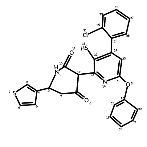 O=C1CC(c2ccsc2)NC(=O)C1c1nc(Oc2ccccc2)cc(-c2ccccc2Cl)c1S